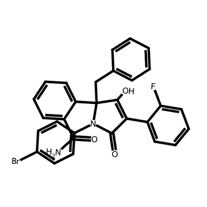 NC(=O)c1ccccc1C1(Cc2ccccc2)C(O)=C(c2ccccc2F)C(=O)N1c1ccc(Br)cc1